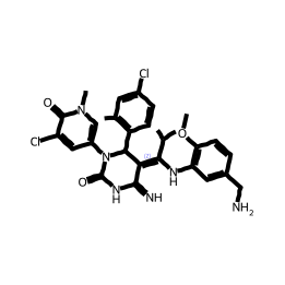 COc1ccc(CN)cc1N/C(=C1\C(=N)NC(=O)N(c2cc(Cl)c(=O)n(C)c2)C1c1ccc(Cl)cc1C)C(C)C